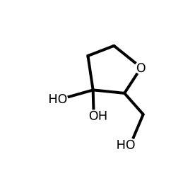 OCC1OCCC1(O)O